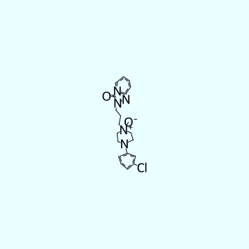 O=c1n(CCC[N+]2([O-])CCN(c3cccc(Cl)c3)CC2)nc2ccccn12